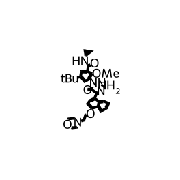 COc1c(NC(=O)C(=NN)c2ccc(OCCN3CCOCC3)c3ccccc23)cc(C(C)(C)C)cc1C(=O)NC1CC1